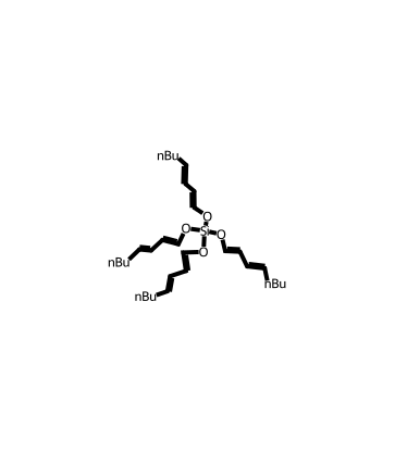 CCCCC=CC=CO[Si](OC=CC=CCCCC)(OC=CC=CCCCC)OC=CC=CCCCC